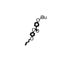 C=CCCOc1ccc(OC(=O)c2ccc(OC[C@@H](C)CC)cc2)cc1